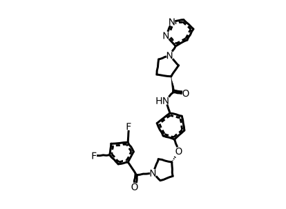 O=C(Nc1ccc(O[C@@H]2CCN(C(=O)c3cc(F)cc(F)c3)C2)cc1)[C@H]1CCN(c2cccnn2)C1